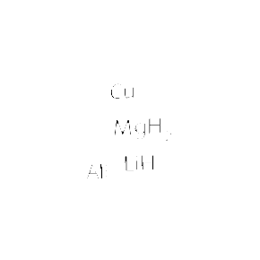 [Al].[Cu].[LiH].[MgH2]